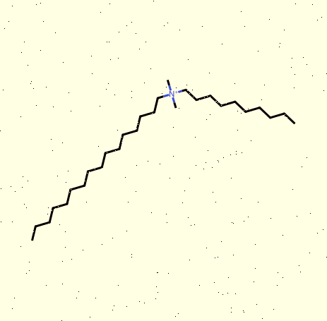 CCCCCCCCCCCCCCCC[N+](C)(C)CCCCCCCCCC